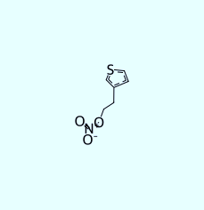 O=[N+]([O-])OCCc1ccsc1